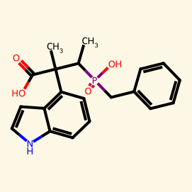 CC(C(C)(C(=O)O)c1cccc2[nH]ccc12)P(=O)(O)Cc1ccccc1